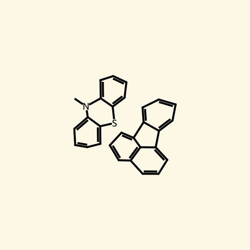 CN1c2ccccc2Sc2ccccc21.c1ccc2c(c1)-c1cccc3cccc-2c13